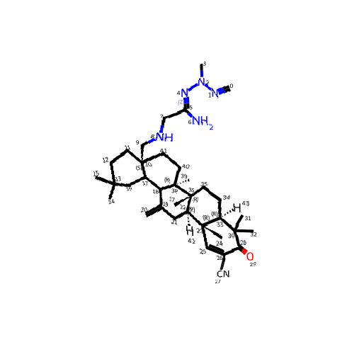 C=NN(C)/N=C(\N)CNC[C@]12CCC(C)(C)CC1C1C(=C)C[C@@H]3[C@@]4(C)C=C(C#N)C(=O)C(C)(C)[C@@H]4CC[C@@]3(C)[C@]1(C)CC2